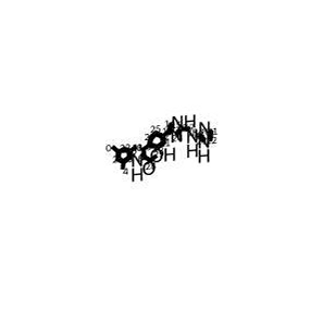 Cc1cc(C)c(NC(Cc2ccc(-c3c[nH]c(CNc4ncc[nH]4)n3)cc2)C(=O)O)c(C)c1